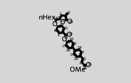 C=C1CC(C(CCCCCC)Oc2ccc(C(=O)Oc3ccc(-c4ccc(/C=C/C(=O)OC)cc4)cc3)cc2)OC1=O